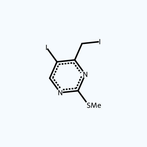 CSc1ncc(I)c(CI)n1